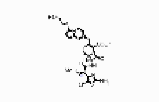 CO/N=C(\C(=O)N[C@@H]1C(=O)N2C(C(=O)[O-])=C(Cn3cc[n+]4c(SCCO)ccc-4c3)CS[C@H]12)c1nc(N)sc1Cl